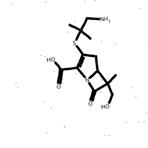 CC(C)(CN)SC1=C(C(=O)O)N2C(=O)C(C)(CO)C2C1